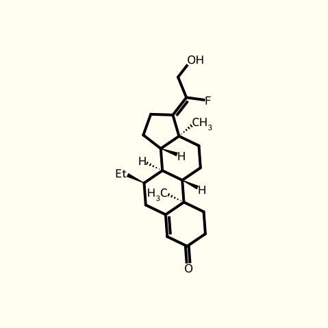 CC[C@@H]1CC2=CC(=O)CC[C@]2(C)[C@H]2CC[C@]3(C)C(=C(F)CO)CC[C@H]3[C@H]12